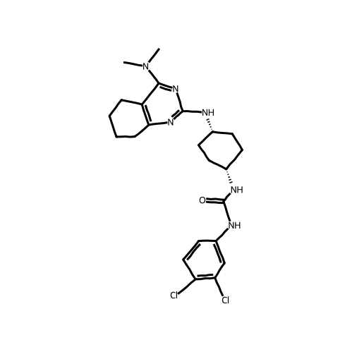 CN(C)c1nc(N[C@H]2CC[C@@H](NC(=O)Nc3ccc(Cl)c(Cl)c3)CC2)nc2c1CCCC2